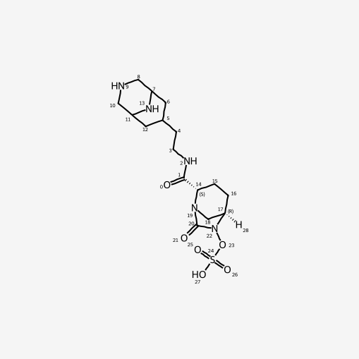 O=C(NCCC1CC2CNCC(C1)N2)[C@@H]1CC[C@@H]2CN1C(=O)N2OS(=O)(=O)O